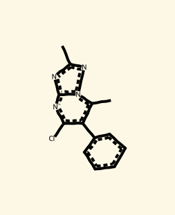 Cc1nc2nc(Cl)c(-c3ccccc3)c(C)n2n1